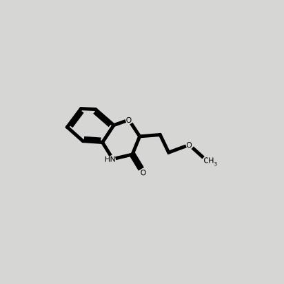 COCCC1Oc2ccccc2NC1=O